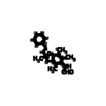 Cc1c(C)c2c(c(C)c1NC=O)CC(C)(CSc1ccccc1)O2